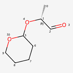 C[C@H](C=O)OC1CCCCO1